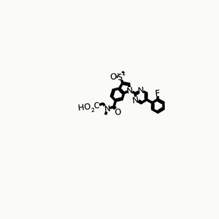 CN(CC(=O)O)C(=O)c1ccc2c([S+](C)[O-])cn(-c3ncc(-c4ccccc4F)cn3)c2c1